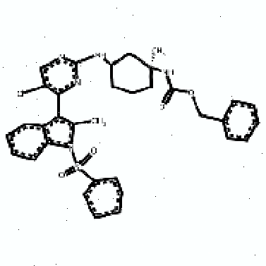 Cc1c(-c2nc(N[C@@H]3CCC[C@](C)(NC(=O)OCc4ccccc4)C3)ncc2Cl)c2ccccc2n1S(=O)(=O)c1ccccc1